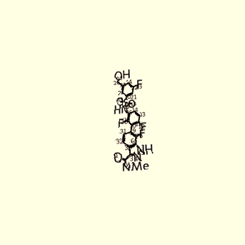 CNC(=O)c1n[nH]c2c(F)c(-c3c(F)ccc(NS(=O)(=O)c4cc(F)cc(CO)c4)c3F)ccc12